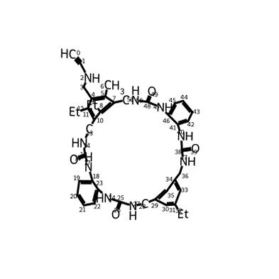 C#CNCc1c(C)c2c(CC)c(c1CC)CNC(=O)Nc1ccccc1NC(=O)NCc1cc(CC)cc(c1)CNC(=O)Nc1ccccc1NC(=O)NC2